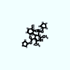 CC1=C(C(=O)OC2CCCC2)C(c2cccc(Cl)c2Cl)C(C(=O)OC2CCCC2)C(C)N1